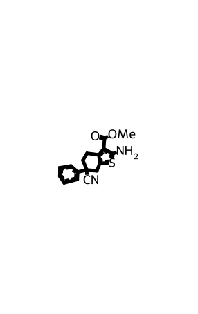 COC(=O)c1c(N)sc2c1CCC(C#N)(c1ccccc1)C2